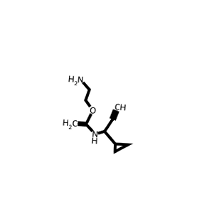 C#CC(NC(=C)OCCN)C1CC1